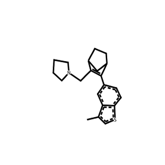 Cc1csc2ccc(C3=C(CN4CCCC4)C4CCC3C4)cc12